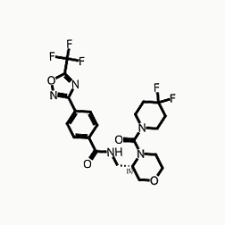 O=C(NC[C@H]1COCCN1C(=O)N1CCC(F)(F)CC1)c1ccc(-c2noc(C(F)(F)F)n2)cc1